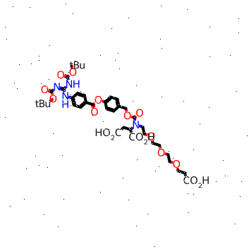 CC(C)(C)OC(=O)N=C(NC(=O)OC(C)(C)C)Nc1ccc(C(=O)Oc2ccc(COC(=O)N(CCOCCOCCOCCC(=O)O)C(CC(=O)O)C(=O)O)cc2)cc1